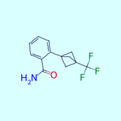 NC(=O)c1ccccc1C12CC(C(F)(F)F)(C1)C2